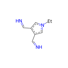 CCn1cc(C=N)c(C=N)c1